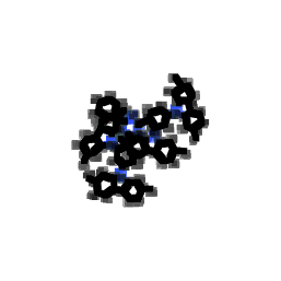 Cc1ccc2c3ccc(C)cc3n(-c3ccc(-c4nc(-c5ccccc5)nc(-c5ccc(-n6c7cc(C)ccc7c7ccc(C)cc76)cc5-n5c6cc(C)ccc6c6ccc(C)cc65)n4)c(-n4c5cc(C)ccc5c5ccc(C)cc54)c3)c2c1